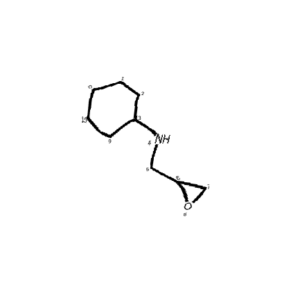 C1CCC(NCC2CO2)CC1